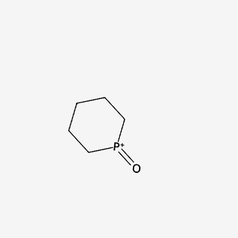 O=[P+]1CCCCC1